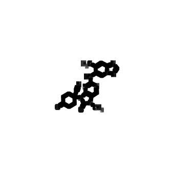 Cc1cc2ncnn2cc1Nc1ncc2c(n1)n(C1(C#N)CCC(=O)CC1)c(=O)n2C